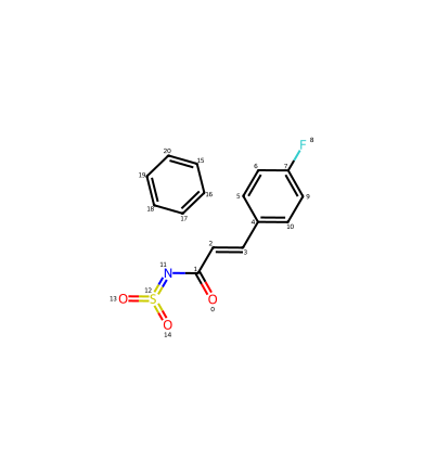 O=C(C=Cc1ccc(F)cc1)N=S(=O)=O.c1ccccc1